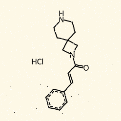 Cl.O=C(/C=C/c1ccccc1)N1CC2(CCNCC2)C1